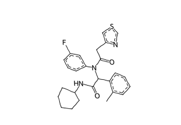 Cc1ccccc1C(C(=O)NC1CCCCC1)N(C(=O)Cc1cscn1)c1cccc(F)c1